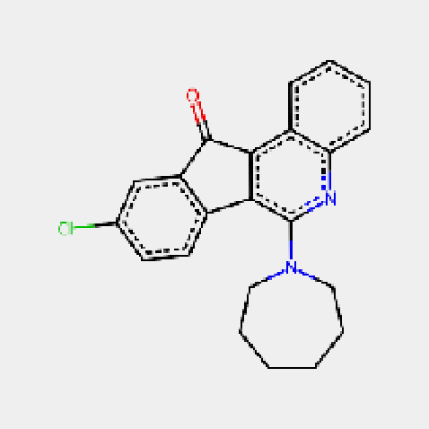 O=C1c2cc(Cl)ccc2-c2c(N3CCCCCC3)nc3ccccc3c21